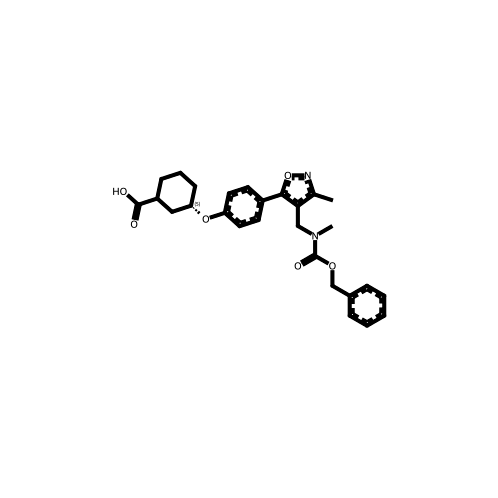 Cc1noc(-c2ccc(O[C@H]3CCCC(C(=O)O)C3)cc2)c1CN(C)C(=O)OCc1ccccc1